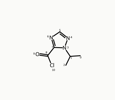 CC(C)n1ncnc1C(=O)Cl